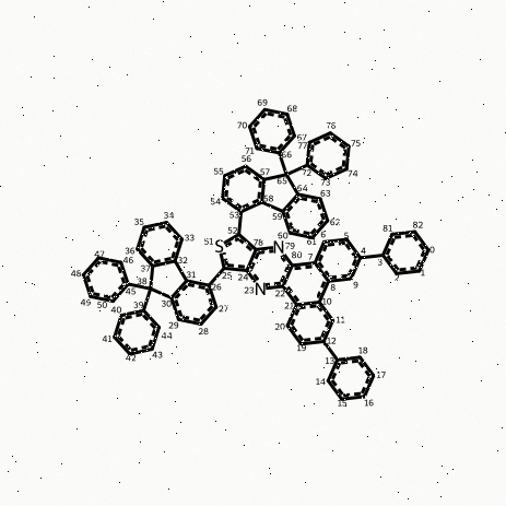 c1ccc(-c2ccc3c(c2)c2cc(-c4ccccc4)ccc2c2nc4c(-c5cccc6c5-c5ccccc5C6(c5ccccc5)c5ccccc5)sc(-c5cccc6c5-c5ccccc5C6(c5ccccc5)c5ccccc5)c4nc32)cc1